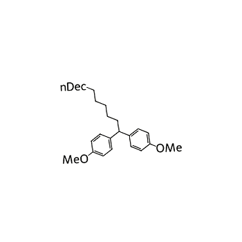 CCCCCCCCCCCCCCCC(c1ccc(OC)cc1)c1ccc(OC)cc1